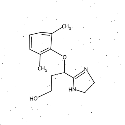 Cc1cccc(C)c1OC(CCO)C1=NCCN1